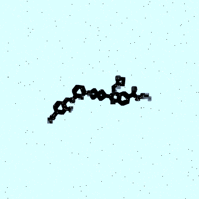 COC(=O)c1ccc2nc(C3CC4(C3)CN(c3cccc(OCc5ccc(C#N)cc5F)n3)C4)n(C[C@@H]3CCO3)c2c1